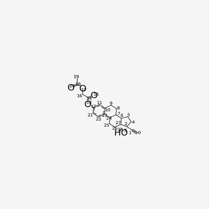 C#C[C@]1(O)CCC2C3CCc4cc(OC(=O)COC(C)=O)ccc4C3CC[C@@]21C